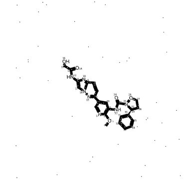 COc1ncc(-c2ccc3nc(NC(=O)CO)cn3n2)cc1NC(=O)N1OCC[C@H]1c1ccccc1